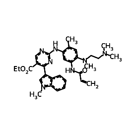 C=CC(=O)Nc1cc(Nc2ncc(C(=O)OCC)c(-c3cn(C)c4ccccc34)n2)c(C)cc1N(C)CCN(C)C